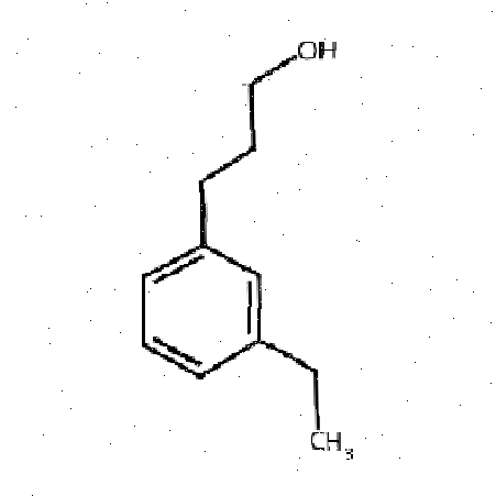 CCc1cccc(CC[CH]O)c1